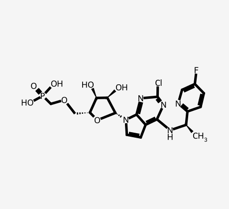 C[C@@H](Nc1nc(Cl)nc2c1ccn2[C@@H]1O[C@H](COCP(=O)(O)O)[C@@H](O)[C@H]1O)c1ccc(F)cn1